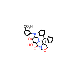 O=C(O)c1cccc(Nc2cn3c(c(O)c2=O)C(=O)N2COCC[C@H]2[C@@H]3C(c2ccccc2)c2ccccc2)c1